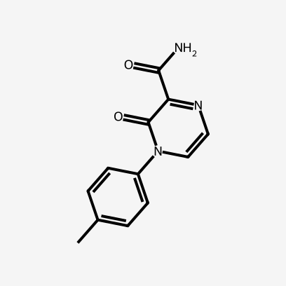 Cc1ccc(-n2ccnc(C(N)=O)c2=O)cc1